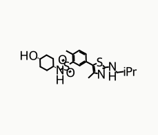 Cc1ccc(-c2sc(NCC(C)C)nc2C)cc1S(=O)(=O)N[C@H]1CC[C@@H](O)CC1